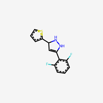 Fc1cccc(F)c1C1=CC(c2cccs2)NN1